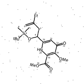 C=C(CC)CC(O[Si](C)(C)C(C)(C)C)c1cc(=O)c(OC)c(C(=O)OC)[nH]1